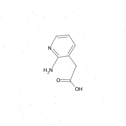 Nc1ncccc1CC(=O)O